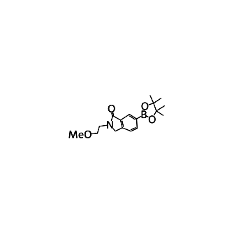 COCCN1Cc2ccc(B3OC(C)(C)C(C)(C)O3)cc2C1=O